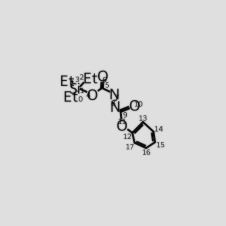 CC[Si](CC)(CC)OC(=O)/N=N/C(=O)Oc1ccccc1